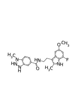 COc1cc(F)c2[nH]c(C)c(CCNC(=O)c3ccc4c(c3)NNN4C)c2c1